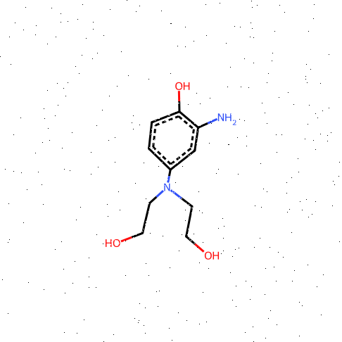 Nc1cc(N(CCO)CCO)ccc1O